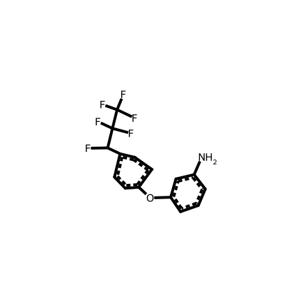 Nc1cccc(Oc2ccc(C(F)C(F)(F)C(F)(F)F)cc2)c1